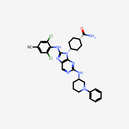 N#Cc1cc(Cl)c(Nc2nc3cnc(N[C@@H]4CCCN(c5ccccc5)C4)nc3n2[C@H]2CC[C@@H](C(N)=O)CC2)c(Cl)c1